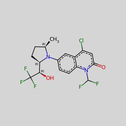 C[C@@H]1CC[C@H]([C@@H](O)C(F)(F)F)N1c1ccc2c(c1)c(Cl)cc(=O)n2C(F)F